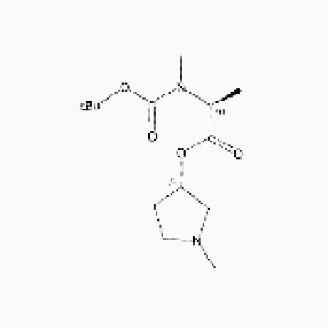 C[C@@H](C(=O)O[C@H]1CCN(C)C1)N(C)C(=O)OC(C)(C)C